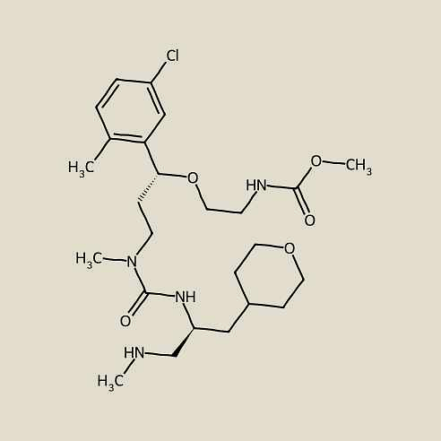 CNC[C@H](CC1CCOCC1)NC(=O)N(C)CC[C@@H](OCCNC(=O)OC)c1cc(Cl)ccc1C